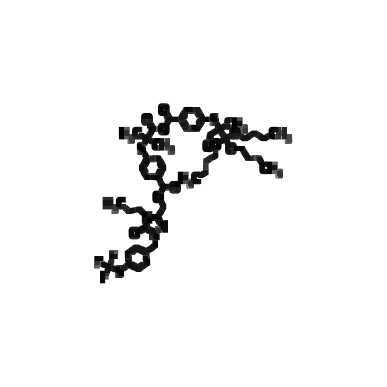 CCCCOC(OCCCC)(OCCCC)C(C)(C=O)Sc1ccc(C(=O)OC(=O)C(C)(C)Sc2ccc(C(=O)OCc3nn(Cc4ccc(SC(F)(F)F)cc4)c(=O)n3CCC)cc2)cc1